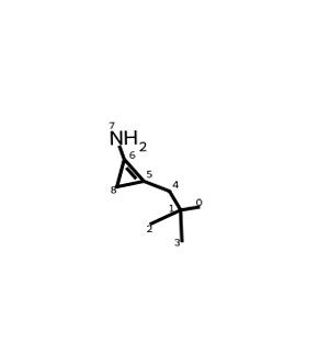 CC(C)(C)CC1=C(N)C1